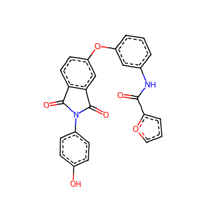 O=C(Nc1cccc(Oc2ccc3c(c2)C(=O)N(c2ccc(O)cc2)C3=O)c1)c1ccco1